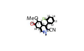 COC1C=C2C(=CN(C)C(C#N)=C2c2ccccc2F)CC1=O